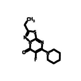 CCc1nn2c(=O)c(F)c(N3CCCCC3)nc2s1